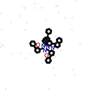 c1ccc(-c2ccc(-c3nc(-c4cccc5c4oc4ccccc45)nc(-c4c(-n5c6cc7ccccc7cc6c6c7ccccc7ccc65)ccc5c4oc4ccccc45)n3)cc2)cc1